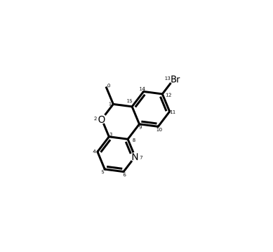 CC1Oc2cccnc2-c2ccc(Br)cc21